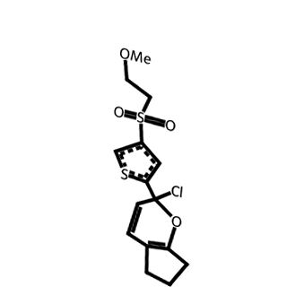 COCCS(=O)(=O)c1csc(C2(Cl)C=CC3=C(CCC3)O2)c1